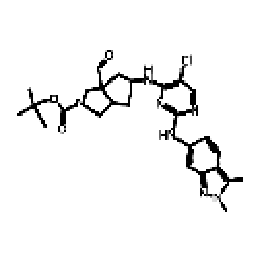 Cc1c2ccc(Nc3ncc(Cl)c(NC4CC5CN(C(=O)OC(C)(C)C)CC5(C=O)C4)n3)cc2nn1C